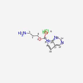 Cl.NCCCOC(=O)n1ccc2cncnc21